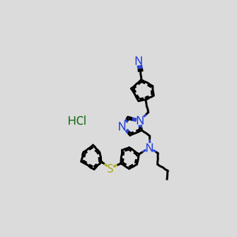 CCCCN(Cc1cncn1Cc1ccc(C#N)cc1)c1ccc(Sc2ccccc2)cc1.Cl